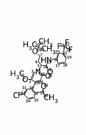 COc1cn(C(CCOC(C)(C)C)C(=O)Nc2cccc(C(F)(F)F)c2)c(=O)cc1-c1cc(Cl)ccc1C(C)=O